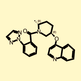 C[C@@H]1CC[C@@H](Oc2ccnc3ccccc23)CN1C(=O)c1ccccc1-n1nccn1